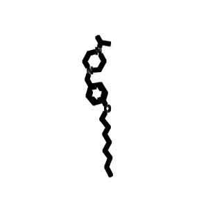 CCCCCCCCOc1ccc(CN2CCN(C(C)C)CC2)cc1